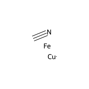 C#N.[Cu].[Fe]